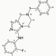 Fc1ccccc1Nc1ncc2n1CCN(Cc1ccccc1)C2